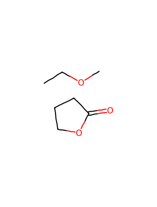 CCOC.O=C1CCCO1